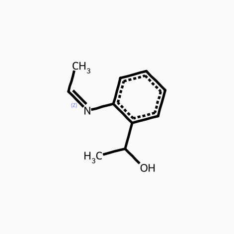 C/C=N\c1ccccc1C(C)O